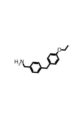 CCOc1ccc(Cc2ccc(CN)cc2)cc1